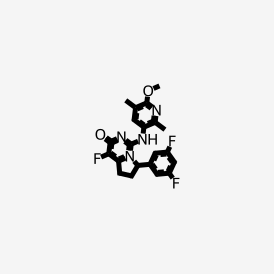 COc1nc(C)c(Nc2nc(=O)c(F)c3n2C(c2cc(F)cc(F)c2)CC3)cc1C